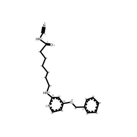 N#CNC(=O)CCCCCCNc1cc(OCc2ccccc2)ccn1